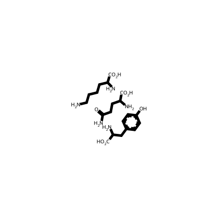 NC(=O)CCC(N)C(=O)O.NC(Cc1ccc(O)cc1)C(=O)O.NCCCCC(N)C(=O)O